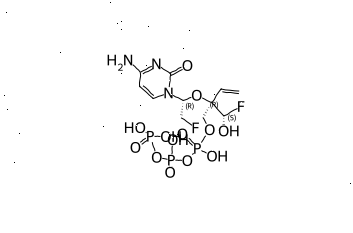 C=C[C@](COP(=O)(O)OP(=O)(O)OP(=O)(O)O)(O[C@H](CF)n1ccc(N)nc1=O)[C@@H](O)F